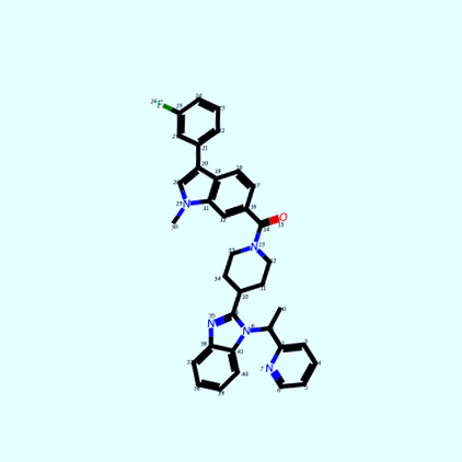 CC(c1ccccn1)n1c(C2CCN(C(=O)c3ccc4c(-c5cccc(F)c5)cn(C)c4c3)CC2)nc2ccccc21